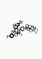 CC(C)(C)OC(=O)N1CCC(Nc2c(/C(N)=N/c3cc(F)ccc3Cl)cnn3cc(Br)cc23)CC1